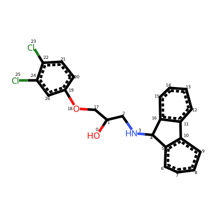 OC(CNC1c2ccccc2-c2ccccc21)COc1ccc(Cl)c(Cl)c1